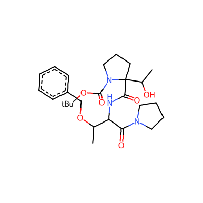 CC(OCc1ccccc1)C(NC(=O)C1(C(C)O)CCCN1C(=O)OC(C)(C)C)C(=O)N1CCCC1